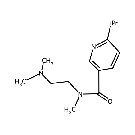 CC(C)c1ccc(C(=O)N(C)CCN(C)C)cn1